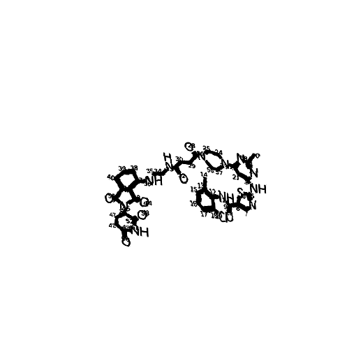 Cc1nc(Nc2ncc(C(=O)Nc3c(C)cccc3Cl)s2)cc(N2CCN(C(=O)CCC(=O)NCCNc3cccc4c3C(=O)N(C3CCC(=O)NC3=O)C4=O)CC2)n1